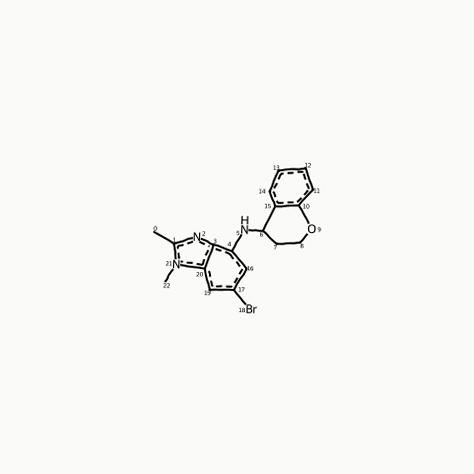 Cc1nc2c(NC3CCOc4ccccc43)cc(Br)cc2n1C